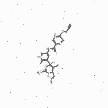 C#CCOc1cnc(C(=O)Nc2cnc(F)c([C@@]3(C)N=C(N)S[C@](C)(COC)C3C)c2)cn1